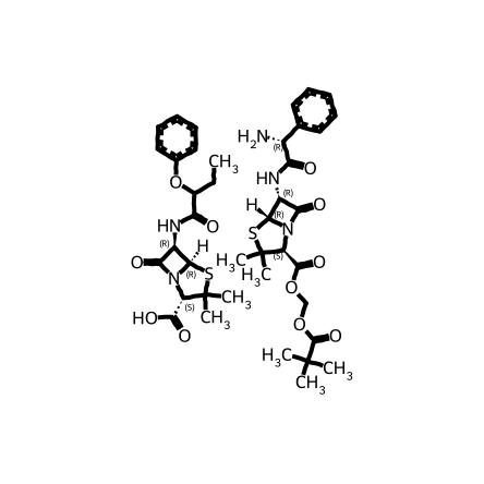 CC(C)(C)C(=O)OCOC(=O)[C@@H]1N2C(=O)[C@@H](NC(=O)[C@H](N)c3ccccc3)[C@H]2SC1(C)C.CCC(Oc1ccccc1)C(=O)N[C@@H]1C(=O)N2[C@@H]1SC(C)(C)[C@@H]2C(=O)O